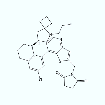 O=C1CCC(=O)N1Cc1cc2nccc(-c3cc(Cl)cc4c3N([C@@H]3CN(CCF)C5(CCC5)C3)CCC4)c2s1